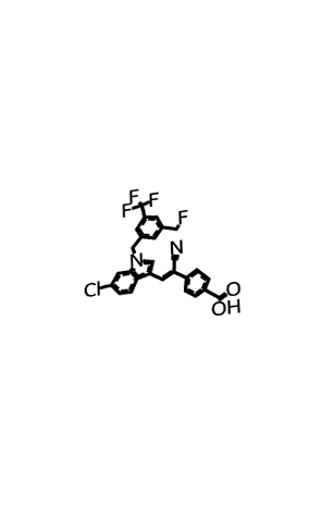 N#C/C(=C\c1cn(Cc2cc(CF)cc(C(F)(F)F)c2)c2cc(Cl)ccc12)c1ccc(C(=O)O)cc1